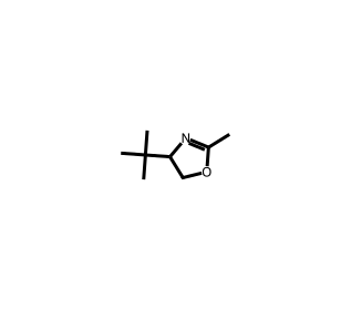 CC1=NC(C(C)(C)C)CO1